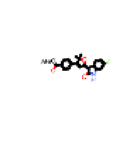 COC(=O)c1ccc(C2=C/C(=C3\C(=O)Nc4cc(F)ccc43)OC2(C)C)cc1